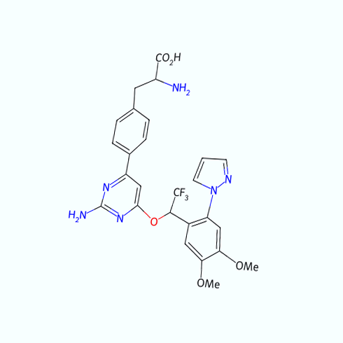 COc1cc(C(Oc2cc(-c3ccc(CC(N)C(=O)O)cc3)nc(N)n2)C(F)(F)F)c(-n2cccn2)cc1OC